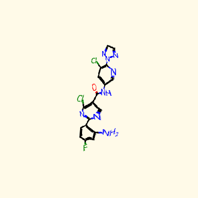 Nc1cc(F)ccc1-c1ncc(C(=O)Nc2cnc(-n3nccn3)c(Cl)c2)c(Cl)n1